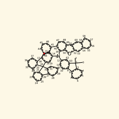 CC1(C)c2ccccc2-c2ccc(N(c3ccc4c(c3)C3(c5ccccc5-c5ccccc53)c3ccccc3-4)c3c(-c4ccccc4)ccc4c3oc3cc5ccccc5cc34)cc21